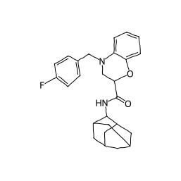 O=C(NC1C2CC3CC(C2)CC1C3)C1CN(Cc2ccc(F)cc2)c2ccccc2O1